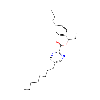 CCCCCCCCc1cnc(C(=O)OC(CC)c2ccc(CCC)cc2)nc1